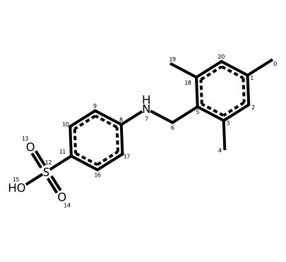 Cc1cc(C)c(CNc2ccc(S(=O)(=O)O)cc2)c(C)c1